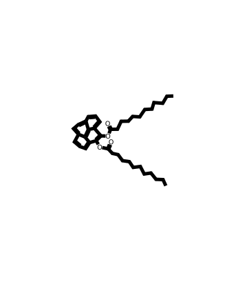 CCCCCCCCCCCC(=O)Oc1c(OC(=O)CCCCCCCCCCC)c2cccc3ccc4cccc1c4c32